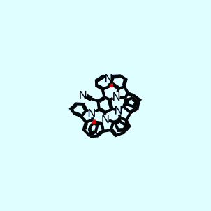 N#Cc1c(-c2cccnc2)c(-n2c3ccccc3c3ccccc32)c(-n2c3ccccc3c3ccccc32)c(-n2c3ccccc3c3ccccc32)c1-n1c2ccccc2c2ccccc21